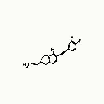 C/C=C/C1CCc2c(ccc(C#Cc3ccc(F)c(F)c3)c2F)C1